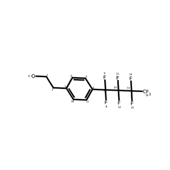 [O]CCc1ccc(C(F)(F)C(F)(F)C(F)(F)C(F)(F)F)cc1